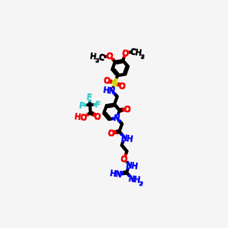 COc1ccc(S(=O)(=O)NCc2cccn(CC(=O)NCCONC(=N)N)c2=O)cc1OC.O=C(O)C(F)(F)F